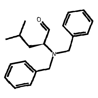 CC(C)C[C@@H](C=O)N(Cc1ccccc1)Cc1ccccc1